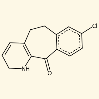 O=C1C2=C(C=CCN2)CCc2cc(Cl)ccc21